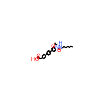 CCCCCCCNC(=O)N1CC(C)Oc2cc(-c3ccc(C4CCC(CC(=O)O)CC4)cc3)ccc21